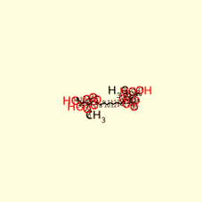 CCOC1=C(OC(=O)CCCCCCCC(=O)OC2=C(OCC)[C@@H]([C@@H](O)CO)OC2=O)C(=O)O[C@@H]1[C@@H](O)CO